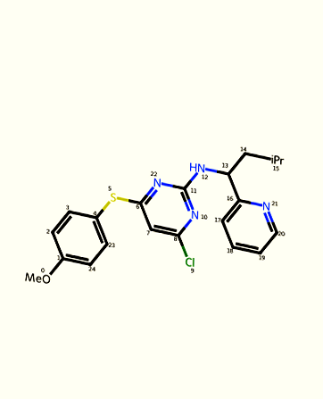 COc1ccc(Sc2cc(Cl)nc(NC(CC(C)C)c3ccccn3)n2)cc1